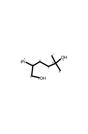 CC(C)C(CO)CCC(C)(C)O